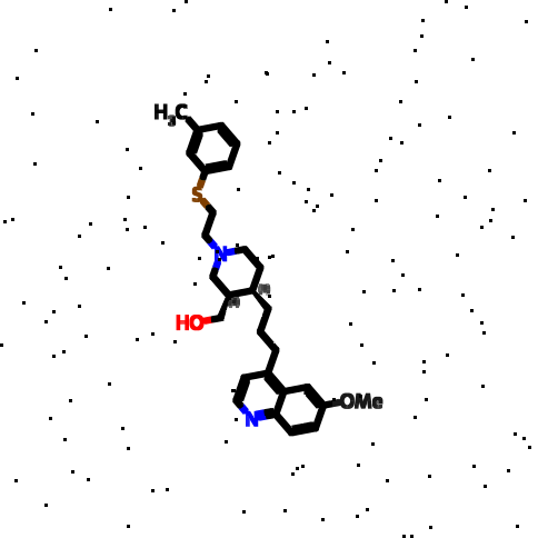 COc1ccc2nccc(CCC[C@@H]3CCN(CCSc4cccc(C)c4)C[C@@H]3CO)c2c1